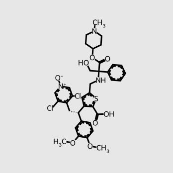 COc1ccc([C@H](Cc2c(Cl)c[n+]([O-])cc2Cl)c2cc(CNC(CO)(C(=O)OC3CCN(C)CC3)c3ccccc3)sc2C(=O)O)cc1OC